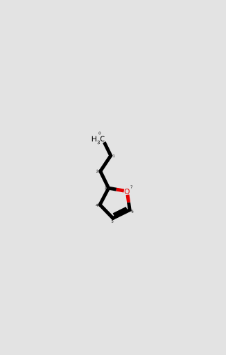 CCCC1CC=CO1